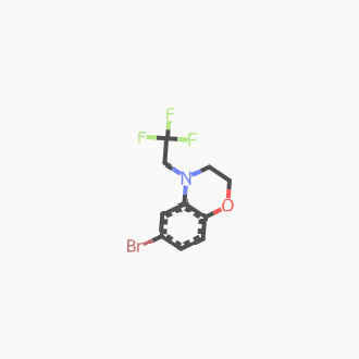 FC(F)(F)CN1CCOc2ccc(Br)cc21